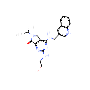 CC(C)N1Cc2c(NCc3cnc4ccccc4c3)nc(NCCO)nc2C1=O